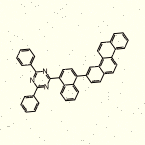 c1ccc(-c2nc(-c3ccccc3)nc(-c3ccc(-c4ccc5ccc6c7ccccc7ccc6c5c4)c4ccccc34)n2)cc1